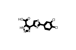 O=C(O)c1[nH]nnc1-c1csc(-c2ccc(Cl)c(Cl)c2)n1